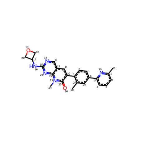 Cc1cccc(-c2ccc(-c3cc4cnc(NC5COC5)nc4n(C)c3=O)c(C)c2)n1